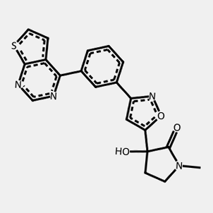 CN1CCC(O)(c2cc(-c3cccc(-c4ncnc5sccc45)c3)no2)C1=O